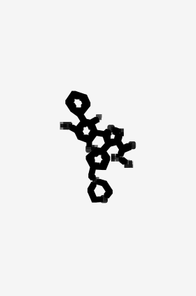 CCNC(=O)c1noc(-c2c(O)cc(O)c(-c3ccccc3)c2F)c1-c1ccc(CN2CCOCC2)cc1